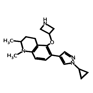 CC1CCc2c(ccc(-c3cnn(C4CC4)c3)c2OC2CNC2)N1C